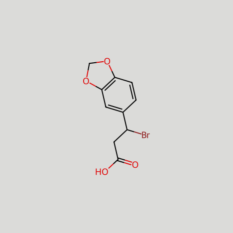 O=C(O)CC(Br)c1ccc2c(c1)OCO2